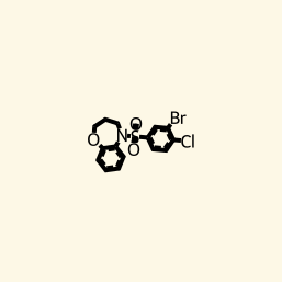 O=S(=O)(c1ccc(Cl)c(Br)c1)N1CCCOc2ccccc21